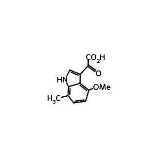 COc1ccc(C)c2[nH]cc(C(=O)C(=O)O)c12